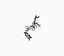 CCC(C)=CCCC(C)(CC#N)SCC(=O)OCC(SC(C)(CC#N)CC/C=C(/C)CC)C(=O)OC